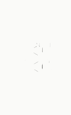 CCOC(=O)c1cnc(Cl)cc1-c1ccccc1OC(F)F